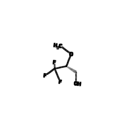 CO[C@H](CO)C(F)(F)F